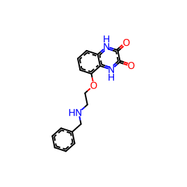 O=c1[nH]c2cccc(OCCNCc3ccccc3)c2[nH]c1=O